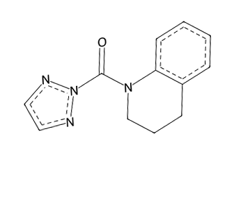 O=C(N1CCCc2ccccc21)n1nccn1